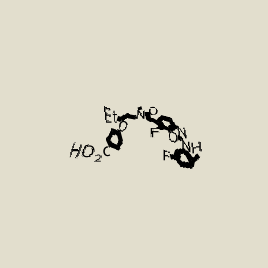 CCC(CCN(C)C(=O)Cc1ccc2nc(Nc3cc(F)ccc3C)oc2c1F)O[C@H]1CC[C@H](C(=O)O)CC1